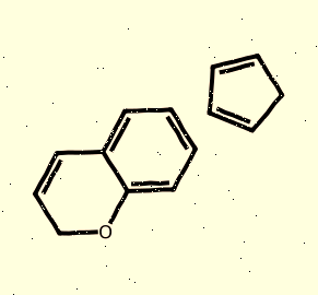 C1=CCC=C1.C1=Cc2ccccc2OC1